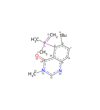 C=P(C)(C)c1c(C(C)(C)C)ccc2ncn(C)c(=O)c12